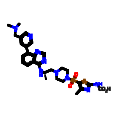 Cc1nc(NC(=O)O)sc1S(=O)(=O)N1CCN(C[C@H](C)Nc2ncnc3c(-c4cncc(CN(C)C)c4)cccc23)CC1